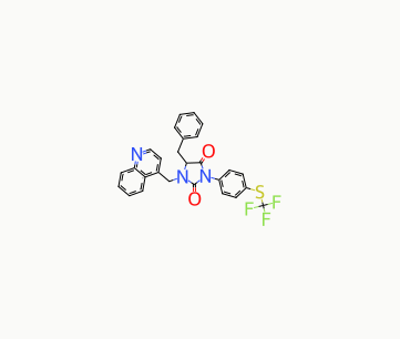 O=C1C(Cc2ccccc2)N(Cc2ccnc3ccccc23)C(=O)N1c1ccc(SC(F)(F)F)cc1